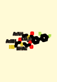 CC(=O)NC(CSC(=O)c1cc(-c2ccc(F)cc2F)ccc1OC(=O)C(CSC(=O)C(CS)NC(C)=O)NC(C)=O)C(=O)O